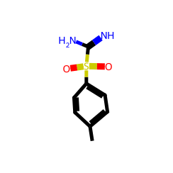 Cc1ccc(S(=O)(=O)C(=N)N)cc1